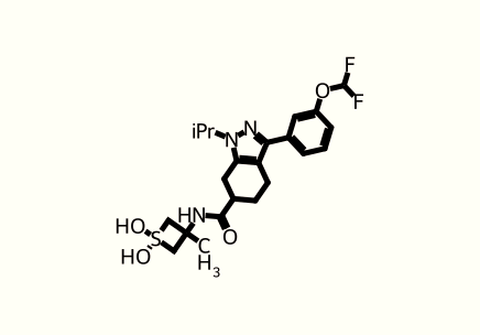 CC(C)n1nc(-c2cccc(OC(F)F)c2)c2c1CC(C(=O)NC1(C)CS(O)(O)C1)CC2